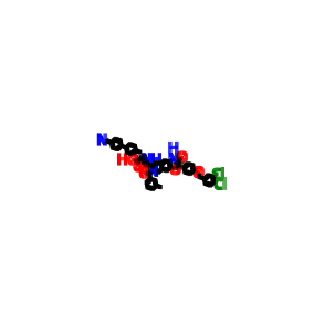 Cc1cccc(C(=O)N2Cc3cc4c(cc3CC2C(=O)N[C@@H](Cc2ccc(-c3ccc(C#N)cc3)cc2)C(=O)O)NC(=O)[C@H](c2ccc(OCc3ccc(Cl)c(Cl)c3)cc2)O4)c1